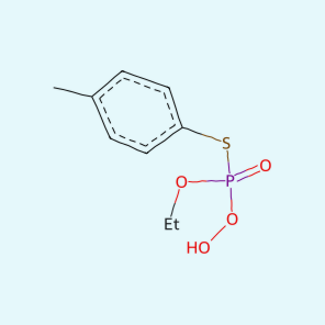 CCOP(=O)(OO)Sc1ccc(C)cc1